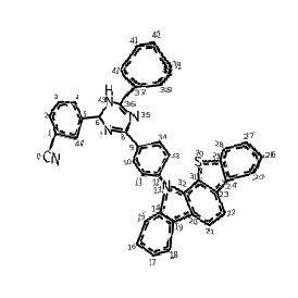 N#Cc1cccc(C2N=C(c3ccc(-n4c5ccccc5c5ccc6c7ccccc7sc6c54)cc3)N=C(c3ccccc3)N2)c1